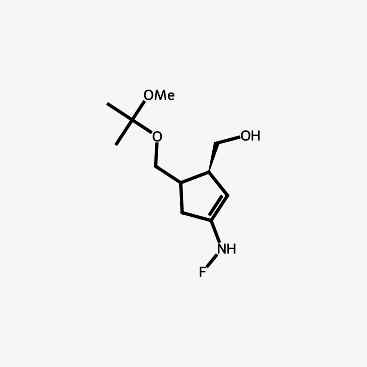 COC(C)(C)OCC1CC(NF)=C[C@@H]1CO